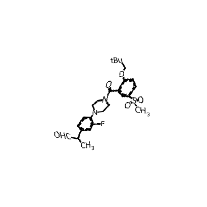 CC(C=O)c1ccc(N2CCN(C(=O)c3cc(S(C)(=O)=O)ccc3OCC(C)(C)C)CC2)c(F)c1